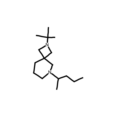 CCCC(C)N1CCCC2(C1)CN(C(C)(C)C)C2